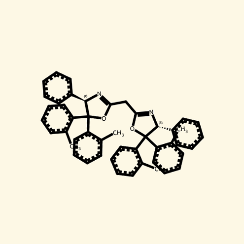 Cc1ccccc1C1(c2ccccc2C)OC(CC2=N[C@H](c3ccccc3)C(c3ccccc3C)(c3ccccc3C)O2)=N[C@@H]1c1ccccc1